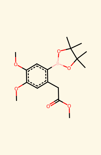 COC(=O)Cc1cc(OC)c(OC)cc1B1OC(C)(C)C(C)(C)O1